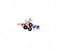 Cc1cc(C)c(S(=O)(=O)N[C@H](CC(=O)O)c2cccc(-c3cccc(NC(=O)Cn4ccnc4)c3)c2)c(C)c1